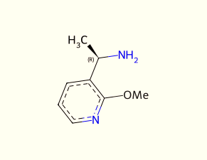 COc1ncccc1[C@@H](C)N